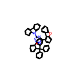 c1ccc(C(c2ccccc2)(c2ccccc2)c2ccccc2-c2nc(-c3cccc4oc5ccccc5c34)nc(-n3c4ccccc4c4ccccc43)n2)cc1